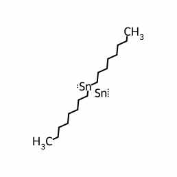 CCCCCCC[CH2][Sn][CH2]CCCCCCC.[Sn]